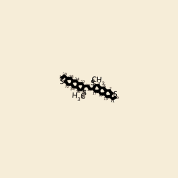 CSc1cc2cc3cc4sccc4cc3cc2cc1/C=C/c1cc2cc3cc4ccsc4cc3cc2cc1SC